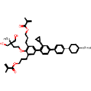 C=C(C)C(=O)OCCCc1cc(-c2ccc(-c3ccc([C@H]4CC[C@H](CCCCC)CC4)cc3)cc2C2CC2)cc(CCCOC(=O)C(=C)C)c1OCCC(CO)(CO)CCCC